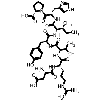 C=C(N)NCCC[C@H](NC(=O)[C@@H](N)CC(=O)O)C(=O)N[C@H](C(=O)N[C@@H](Cc1ccc(O)cc1)C(=O)N[C@H](C(=O)N[C@@H](Cc1c[nH]cn1)C(=O)N1CCC[C@H]1C(=O)O)[C@@H](C)CC)C(C)C